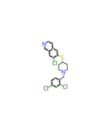 Clc1ccc(CN2CCC(Sc3cc4ccncc4cc3Cl)CC2)c(Cl)c1